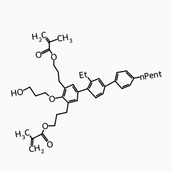 C=C(C)C(=O)OCCCc1cc(-c2ccc(-c3ccc(CCCCC)cc3)cc2CC)cc(CCCOC(=O)C(=C)C)c1OCCCO